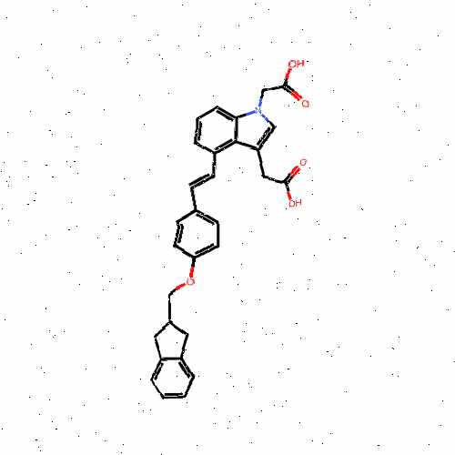 O=C(O)Cc1cn(CC(=O)O)c2cccc(/C=C/c3ccc(OCC4Cc5ccccc5C4)cc3)c12